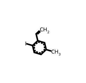 C=Cc1cc(C)ccc1I